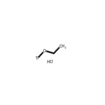 CC[O][Ti].Cl